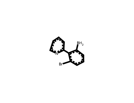 Bc1cccc(Br)c1-c1ccccn1